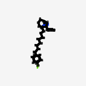 COC1CC2CCCC1(CCCCCCCCc1ccc(F)cc1)N2